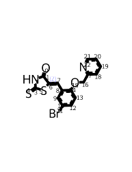 O=C1NC(=S)S/C1=C\c1cc(Br)ccc1OCc1ccccn1